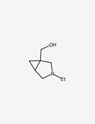 CCN1CC2CC2(CO)C1